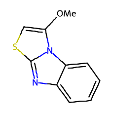 COc1csc2nc3ccccc3n12